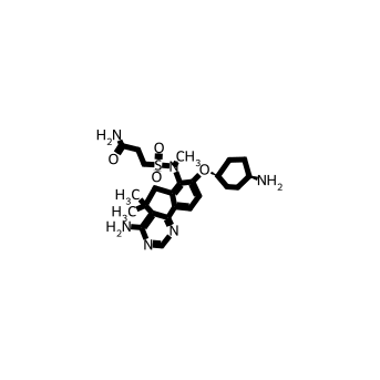 CN(c1c(O[C@H]2CC[C@H](N)CC2)ccc2c1CC(C)(C)c1c(N)ncnc1-2)S(=O)(=O)CCC(N)=O